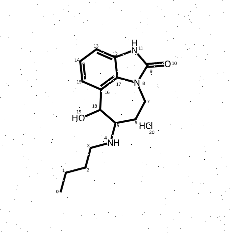 CCCCNC1CCn2c(=O)[nH]c3cccc(c32)C1O.Cl